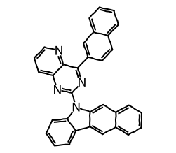 c1ccc2cc(-c3nc(-n4c5ccccc5c5cc6ccccc6cc54)nc4cccnc34)ccc2c1